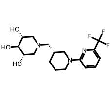 OC1[C@H](O)CN(C[C@H]2CCCN(c3cccc(C(F)(F)F)n3)C2)C[C@@H]1O